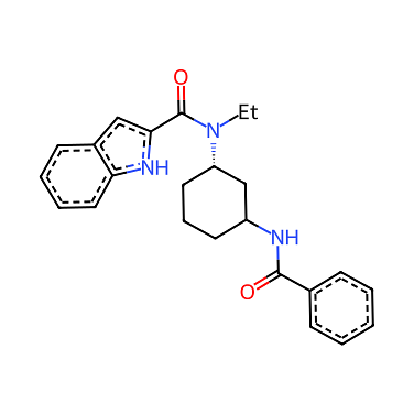 CCN(C(=O)c1cc2ccccc2[nH]1)[C@H]1CCCC(NC(=O)c2ccccc2)C1